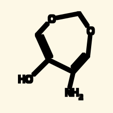 NC1=COCOC=C1O